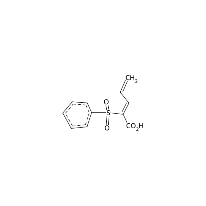 C=C/C=C(/C(=O)O)S(=O)(=O)c1ccccc1